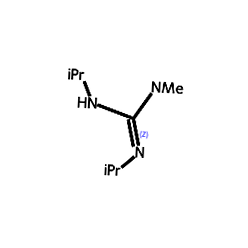 CN/C(=N/C(C)C)NC(C)C